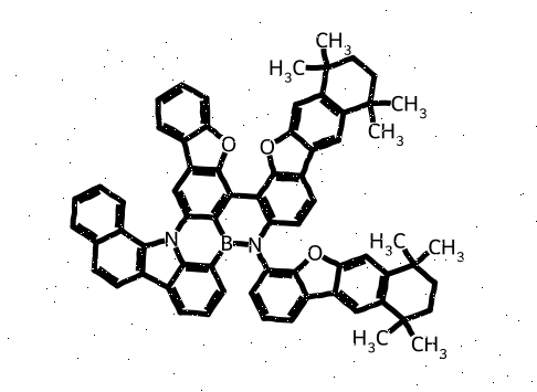 CC1(C)CCC(C)(C)c2cc3c(cc21)oc1c(N2B4c5c(cc6c(oc7ccccc76)c5-c5c2ccc2c5oc5cc6c(cc52)C(C)(C)CCC6(C)C)-n2c5c4cccc5c4ccc5ccccc5c42)cccc13